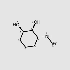 CC(C)N[C@@H]1CCC[C@@H](O)[C@H]1O